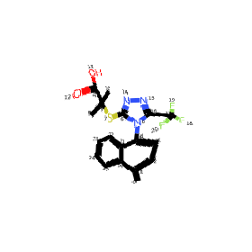 Cc1ccc(-n2c(SC(C)(C)C(=O)O)nnc2C(F)(F)F)c2ccccc12